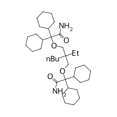 CCCCC(CC)(COC(C(N)=O)(C1CCCCC1)C1CCCCC1)COC(C(N)=O)(C1CCCCC1)C1CCCCC1